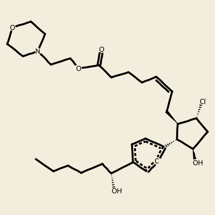 CCCCC[C@@H](O)c1ccc([C@@H]2[C@@H](C/C=C\CCCC(=O)OCCN3CCOCC3)[C@H](Cl)C[C@H]2O)cc1